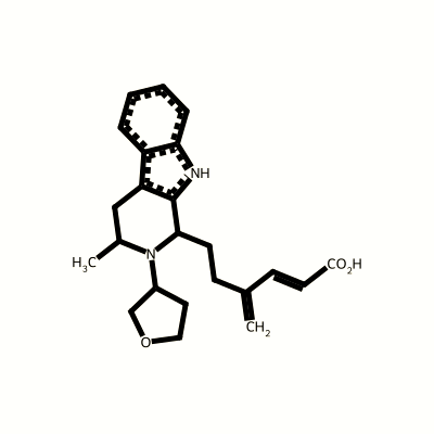 C=C(/C=C/C(=O)O)CCC1c2[nH]c3ccccc3c2CC(C)N1C1CCOC1